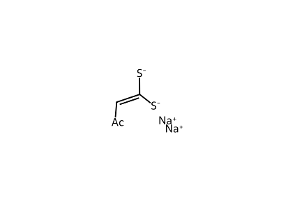 CC(=O)C=C([S-])[S-].[Na+].[Na+]